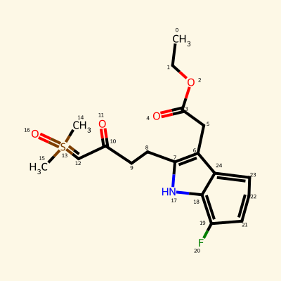 CCOC(=O)Cc1c(CCC(=O)C=S(C)(C)=O)[nH]c2c(F)cccc12